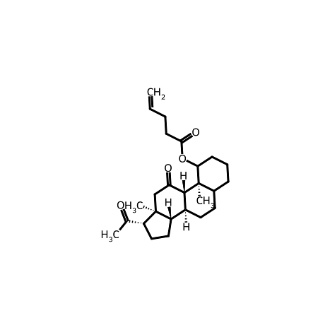 C=CCCC(=O)OC1CCCC2CC[C@@H]3[C@H](C(=O)C[C@]4(C)[C@@H](C(C)=O)CC[C@@H]34)[C@]21C